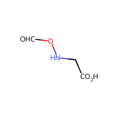 O=CONCC(=O)O